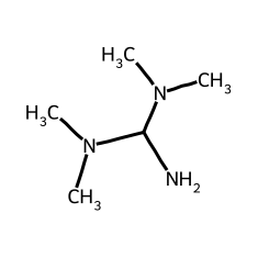 CN(C)C(N)N(C)C